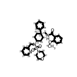 COc1ccccc1C(=O)NC[C@]1(c2ccccc2)CC[C@H](N(Cc2ccccn2)S(=O)(=O)N2CCOCC2)CC1